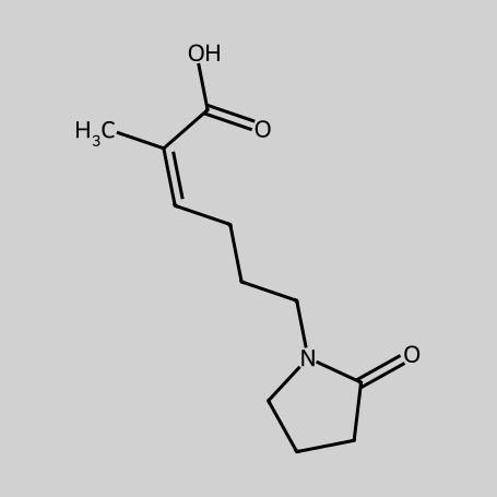 CC(=CCCCN1CCCC1=O)C(=O)O